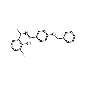 CC(N=Cc1ccc(OCc2ccccc2)cc1)c1cccc(Cl)c1Cl